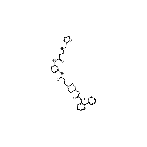 O=C(CCNCc1ccco1)Nc1cccc(NC(=O)CCN2CCC(OC(=O)Nc3ccccc3-c3ccccc3)CC2)c1